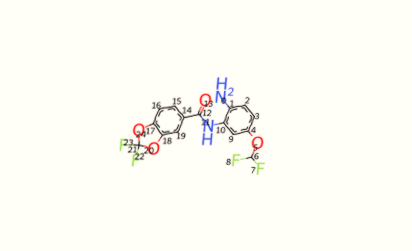 Nc1ccc(OC(F)F)cc1NC(=O)c1ccc2c(c1)OC(F)(F)O2